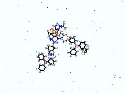 C[C@H]1COCCN1c1cc(C2(S(=O)(=O)c3cnn(C(F)F)c3)CC2)nc(-c2ccc(N)cc2)n1.[Cl][Pd][Cl].c1ccc(P(c2ccccc2)c2ccccc2)cc1.c1ccc(P(c2ccccc2)c2ccccc2)cc1